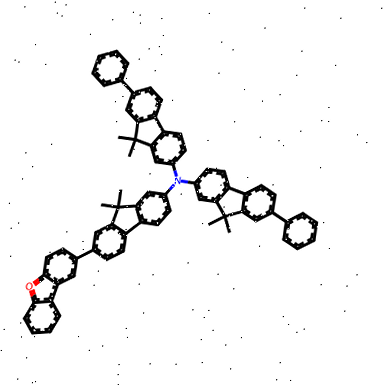 CC1(C)c2cc(-c3ccccc3)ccc2-c2ccc(N(c3ccc4c(c3)C(C)(C)c3cc(-c5ccccc5)ccc3-4)c3ccc4c(c3)C(C)(C)c3cc(-c5ccc6oc7ccccc7c6c5)ccc3-4)cc21